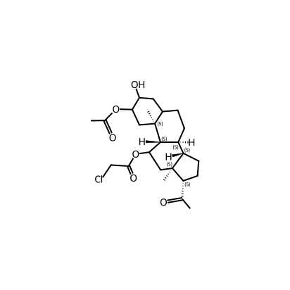 CC(=O)OC1C[C@@]2(C)C(CC[C@H]3[C@@H]4CC[C@H](C(C)=O)[C@@]4(C)CC(OC(=O)CCl)[C@@H]32)CC1O